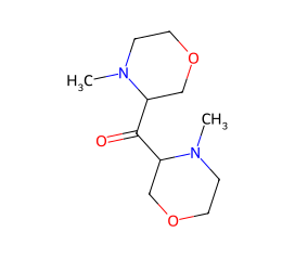 CN1CCOCC1C(=O)C1COCCN1C